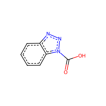 O=C(O)n1nnc2ccccc21